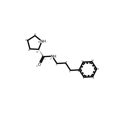 O=C(NCCCc1ccccc1)[C@@H]1CCCN1